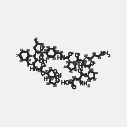 CC(C)CN(C[C@@H](O)[C@H](Cc1ccccc1)NC(=O)OC1CO[C@H]2OCC[C@@H]12)S(=O)(=O)c1ccc(CNC(=O)[C@@H]2CCCN2C(=O)[C@H](CCCCN)NC(=O)[C@@H]2CCCN2C(=O)[C@@H](N)CC(=O)O)cc1